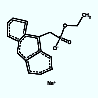 CCOP(=O)([O-])Cc1c2ccccc2cc2ccccc12.[Na+]